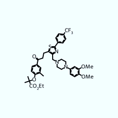 CCOC(=O)C(C)(C)Oc1ccc(C(=O)CCc2sc(-c3ccc(C(F)(F)F)cc3)nc2CN2CCN(c3ccc(OC)c(OC)c3)CC2)cc1C